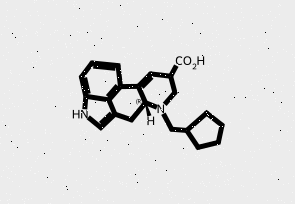 O=C(O)C1C=C2c3cccc4[nH]cc(c34)C[C@H]2N(CC2CCCC2)C1